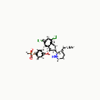 CNCC1CCCN[C@H]1[C@@H]1Cc2c(Cl)cc(Cl)cc2[C@H]1Oc1ccc(S(C)(=O)=O)cc1